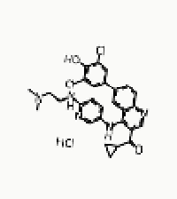 CN(C)CCNc1ccc(Nc2c(C(=O)C3CC3)cnc3ccc(-c4cc(Cl)c(O)c(Cl)c4)cc23)cn1.Cl